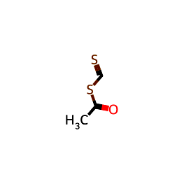 CC(=O)SC=S